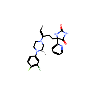 CC/C=C(\CCC1(c2ccccn2)NC(=O)NC1=O)N1CCN(c2ccc(F)c(Cl)c2)[C@@H](C)C1